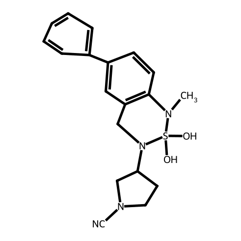 CN1c2ccc(-c3ccccc3)cc2CN(C2CCN(C#N)C2)S1(O)O